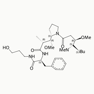 CC[C@H](C)[C@H](NC)[C@@H](CC(=O)N1CCC[C@H]1[C@H](OC)[C@@H](C)C(=O)N[C@@H](Cc1ccccc1)C(=O)NCCCO)OC